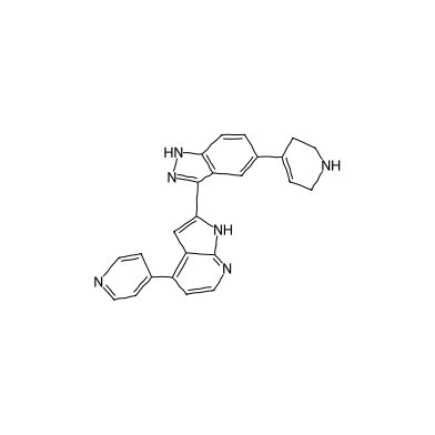 C1=C(c2ccc3[nH]nc(-c4cc5c(-c6ccncc6)ccnc5[nH]4)c3c2)CCNC1